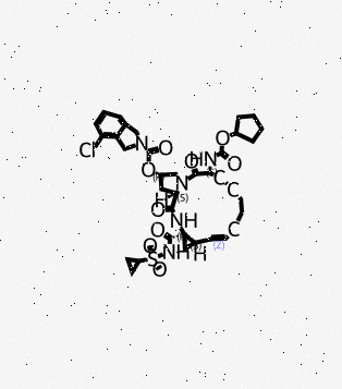 O=C(N[C@H]1CCCCC/C=C\[C@@H]2C[C@@]2(C(=O)NS(=O)(=O)C2CC2)NC(=O)[C@@H]2C[C@@H](OC(=O)N3Cc4cccc(Cl)c4C3)CN2C1=O)OC1CCCC1